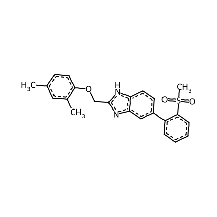 Cc1ccc(OCc2nc3cc(-c4ccccc4S(C)(=O)=O)ccc3[nH]2)c(C)c1